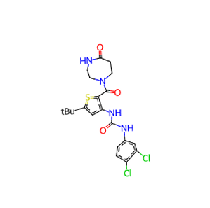 CC(C)(C)c1cc(NC(=O)Nc2ccc(Cl)c(Cl)c2)c(C(=O)N2CCNC(=O)CC2)s1